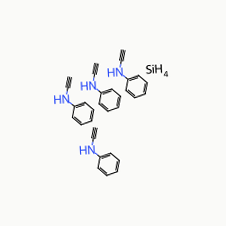 C#CNc1ccccc1.C#CNc1ccccc1.C#CNc1ccccc1.C#CNc1ccccc1.[SiH4]